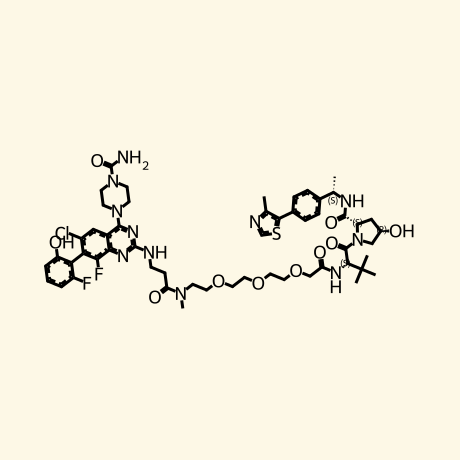 Cc1ncsc1-c1ccc([C@H](C)NC(=O)[C@@H]2C[C@@H](O)CN2C(=O)[C@@H](NC(=O)COCCOCCOCCN(C)C(=O)CCNc2nc(N3CCN(C(N)=O)CC3)c3cc(Cl)c(-c4c(O)cccc4F)c(F)c3n2)C(C)(C)C)cc1